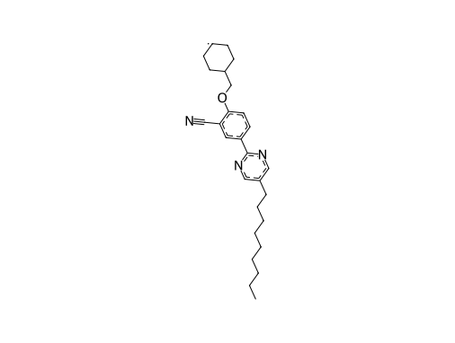 CCCCCCCCCc1cnc(-c2ccc(OCC3CC[CH]CC3)c(C#N)c2)nc1